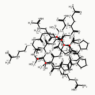 CC(C)C[C@H](NC(=O)[C@H](C)NC(=O)[C@H](CCCNC(=N)N)NC(=O)[C@H](CC(C)C)NC(=O)[C@H](CC(C)C)NC(=O)[C@H](CCC(N)=O)NC(=O)[C@@H](N)CCC(N)=O)C(=O)N[C@@H](CCCNC(=N)N)C(=O)N1CCC[C@H]1C(=O)N1CCC[C@H]1C(=O)N1CCC[C@H]1C(=O)N[C@@H](C)C(=O)N[C@H](C(=O)N[C@@H](C)C(=O)N[C@@H](CC(=O)O)C(=O)N[C@@H](C)C(=O)N[C@@H](CCCNC(=N)N)C(=O)NCC(=O)O)[C@@H](C)O